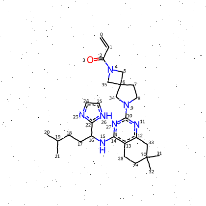 C=CC(=O)N1CC2(CCN(c3nc4c(c(NC(CCC(C)C)c5ncc[nH]5)n3)CCC(C)(C)C4)C2)C1